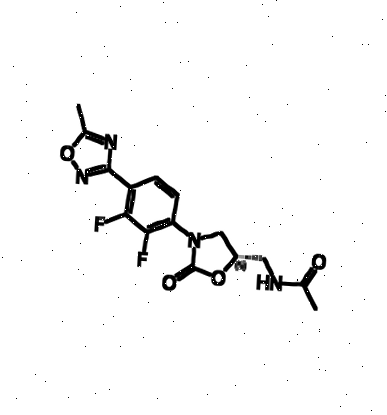 CC(=O)NC[C@H]1CN(c2ccc(-c3noc(C)n3)c(F)c2F)C(=O)O1